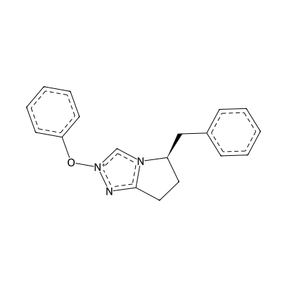 c1ccc(C[C@H]2CCc3n[n+](Oc4ccccc4)cn32)cc1